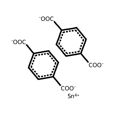 O=C([O-])c1ccc(C(=O)[O-])cc1.O=C([O-])c1ccc(C(=O)[O-])cc1.[Sn+4]